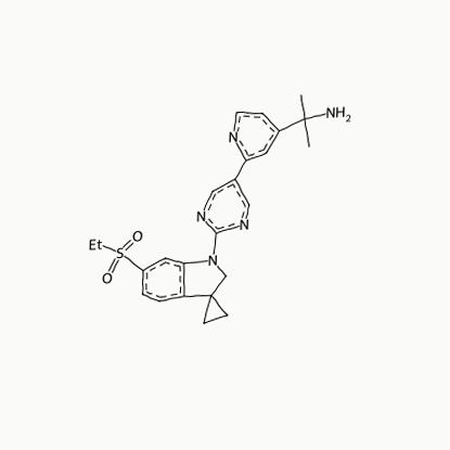 CCS(=O)(=O)c1ccc2c(c1)N(c1ncc(-c3cc(C(C)(C)N)ccn3)cn1)CC21CC1